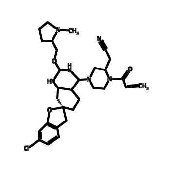 C=CC(=O)N1CCN(C2NC(OCC3CCCN3C)NC3C[C@]4(CCC32)Cc2ccc(Cl)cc2O4)CC1CC#N